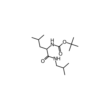 CC(C)CNC(=O)C(CC(C)C)NC(=O)OC(C)(C)C